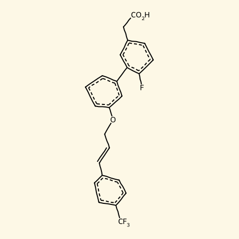 O=C(O)Cc1ccc(F)c(-c2cccc(OCC=Cc3ccc(C(F)(F)F)cc3)c2)c1